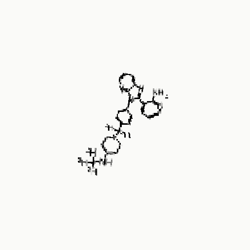 [2H]C([2H])([2H])NC1CCN(C([2H])([2H])c2ccc(-n3c(-c4cccnc4N)nc4cccnc43)cc2)CC1